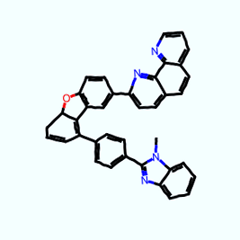 Cn1c(-c2ccc(C3=C4c5cc(-c6ccc7ccc8cccnc8c7n6)ccc5OC4CC=C3)cc2)nc2ccccc21